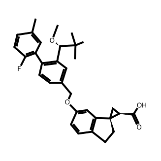 CO[C@@H](c1cc(COc2ccc3c(c2)[C@]2(CC3)C[C@H]2C(=O)O)ccc1-c1cc(C)ccc1F)C(C)(C)C